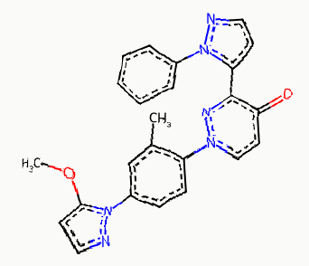 COc1ccnn1-c1ccc(-n2ccc(=O)c(-c3ccnn3-c3ccccc3)n2)c(C)c1